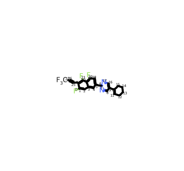 Fc1cc2cc(-c3ncc(C4=CCCCC4)cn3)cc(F)c2c(F)c1C#CC(F)(F)F